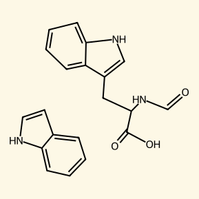 O=CNC(Cc1c[nH]c2ccccc12)C(=O)O.c1ccc2[nH]ccc2c1